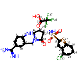 N=C(N)c1ccc(N)c(CN2CC[C@H](NS(=O)(=O)c3cc4c(Cl)cccc4s3)C2=O)c1.O=C(O)C(F)(F)F